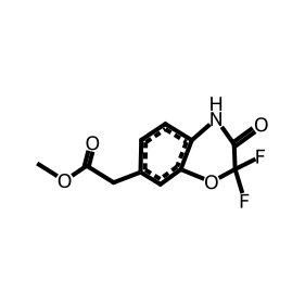 COC(=O)Cc1ccc2c(c1)OC(F)(F)C(=O)N2